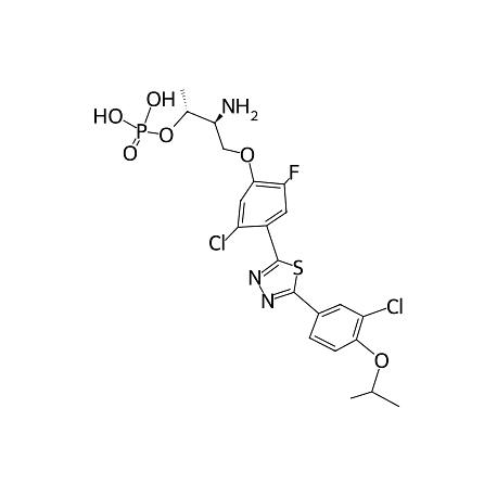 CC(C)Oc1ccc(-c2nnc(-c3cc(F)c(OC[C@H](N)[C@@H](C)OP(=O)(O)O)cc3Cl)s2)cc1Cl